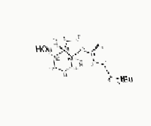 C[C@@H](CCCC(C)(C)C)[C@H]1CC[C@H]2[C@@H](O)CCC[C@]12C